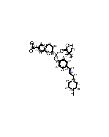 O=C(O)C(F)(F)F.O=[N+]([O-])c1cn2c(n1)O[C@@H](COc1ccc(/C=C/CN3CCNCC3)cc1)CC2